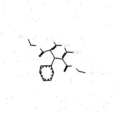 CCOC(=O)C1=C(N)NC(N)=C(C(=O)OCC)C1c1ccccc1